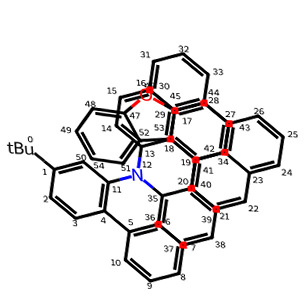 CC(C)(C)c1ccc(-c2ccccc2)c(N(c2ccccc2-c2cccc3cccc(-c4ccccc4)c23)c2ccccc2-c2cccc3oc4ccccc4c23)c1